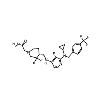 NC(=O)CN1CC[C@@H](CNc2ncnc(N(Cc3ccc(C(F)(F)F)cc3)C3CC3)c2F)C(F)(F)C1